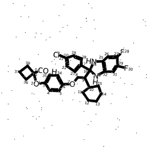 O=C(O)C1(Oc2ccc(OCC(C3CCCCC3)C3(c4ccc(Cl)cc4)Nc4cc(F)c(F)cc4N3)cc2)CCC1